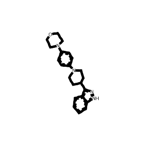 c1ccc2c(C3CCN(c4ccc(N5CCOCC5)cc4)CC3)n[nH]c2c1